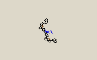 c1ccc2c(-c3cccc4c3sc3c(-c5ccc6[nH]c7ccc(-c8cccc9c8sc8c(-c%10cccc%11ccccc%10%11)cccc89)cc7c6c5)cccc34)cccc2c1